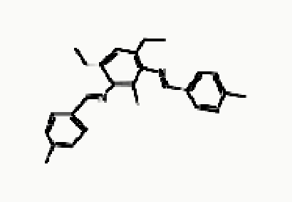 CCc1cc(CC)c(N=Cc2ccc(C)cc2)c(C)c1N=Cc1ccc(C)cc1